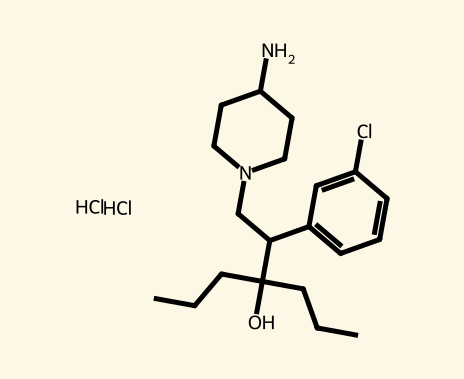 CCCC(O)(CCC)C(CN1CCC(N)CC1)c1cccc(Cl)c1.Cl.Cl